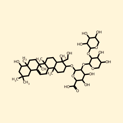 CC1(C)CC(O)C2(C)CCC3(C)C(=CCC4C5(C)CCC(OC6OC(C(=O)O)C(O)C(O)C6OC6OCC(O)C(O)C6OC6OCC(O)C(O)C6O)C(C)(CO)C5CCC43C)C2C1